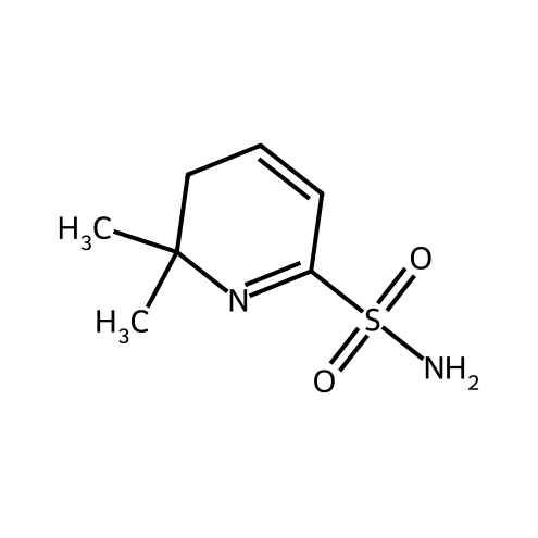 CC1(C)CC=CC(S(N)(=O)=O)=N1